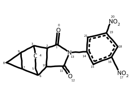 O=C1C2C3CCC(C4CC43)C2C(=O)N1c1cc([N+](=O)[O-])cc([N+](=O)[O-])c1